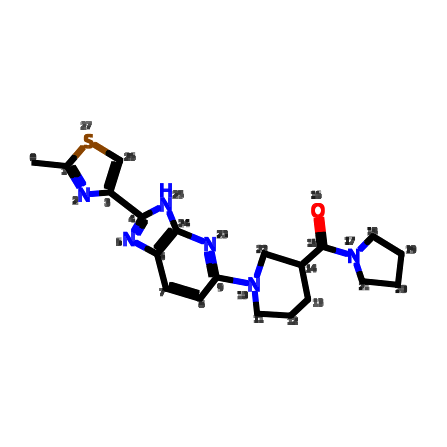 Cc1nc(-c2nc3ccc(N4CCCC(C(=O)N5CCCC5)C4)nc3[nH]2)cs1